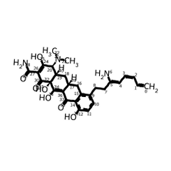 C=C/C=C\C=C(/N)CCc1ccc(O)c2c1C[C@H]1C[C@H]3[C@H](N(C)C)C(O)=C(C(N)=O)C(=O)[C@@]3(O)C(O)=C1C2=O